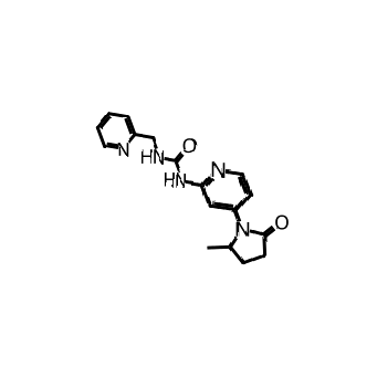 CC1CCC(=O)N1c1ccnc(NC(=O)NCc2ccccn2)c1